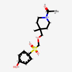 CC1(COCS(=O)(=O)c2ccc(O)cc2)CCN(C(=O)C(C)(C)C)CC1